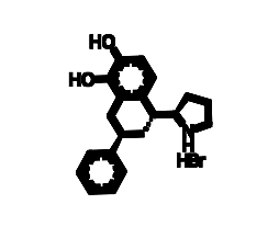 Br.Oc1ccc2c(c1O)C[C@H](c1ccccc1)C[C@H]2[C@H]1CCCN1